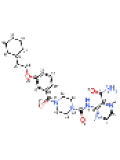 NC(=O)c1nccnc1NC(=O)N1CCN(C(=O)c2cccc(OCCC3CCCCC3)c2)CC1